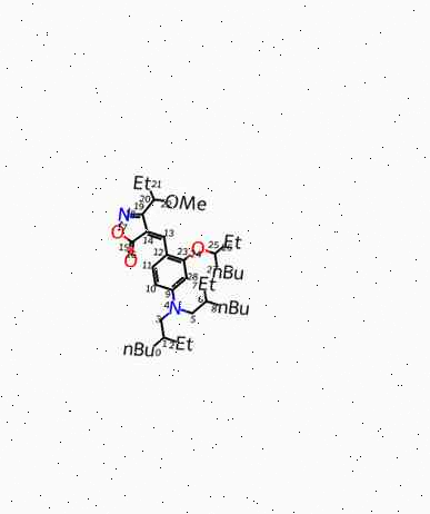 CCCCC(CC)CN(CC(CC)CCCC)c1ccc(C=C2C(=O)ON=C2C(CC)OC)c(OC(CC)CCCC)c1